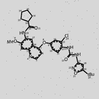 COc1cc2nccc(Oc3ccc(NC(=O)Nc4cc(C(C)(C)C)on4)c(Cl)c3)c2cc1NC(=O)C1CCCC1